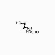 O=CNNC(=O)NO